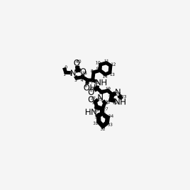 CCN1CC(C(O)C(CC2CCCCC2)NC(=O)C(Cc2c[nH]cn2)N2Cc3c([nH]c4ccccc34)C2=O)OC1=O